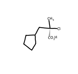 C[C@@](Cl)(CC1CCCC1)C(=O)O